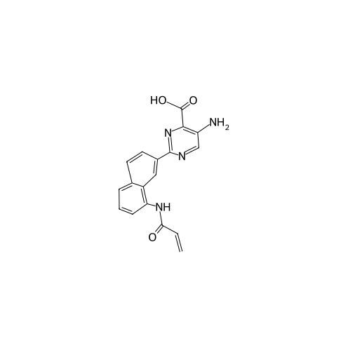 C=CC(=O)Nc1cccc2ccc(-c3ncc(N)c(C(=O)O)n3)cc12